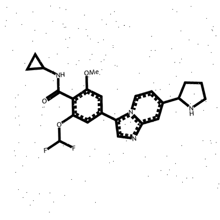 COc1cc(-c2cnc3cc(C4CCCN4)ccn23)cc(OC(F)F)c1C(=O)NC1CC1